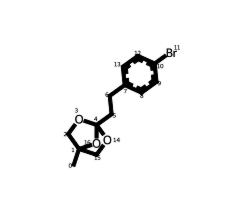 CC12COC(CCc3ccc(Br)cc3)(OC1)O2